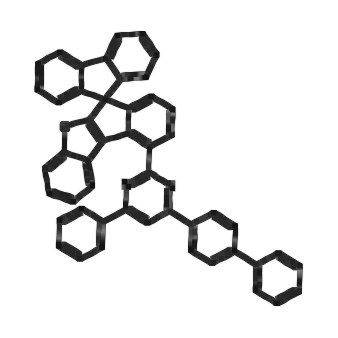 c1ccc(-c2ccc(-c3cc(-c4ccccc4)nc(-c4cccc5c4-c4c(oc6ccccc46)C54c5ccccc5-c5ccccc54)n3)cc2)cc1